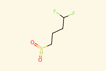 O=[SH](=O)CCCC(F)F